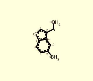 BCc1csc2ccc(B)cc12